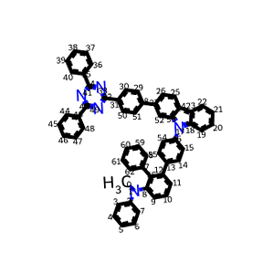 CN(c1ccccc1)c1cccc(-c2ccc(-n3c4ccccc4c4ccc(-c5ccc(-c6nc(-c7ccccc7)nc(-c7ccccc7)n6)cc5)cc43)cc2)c1-c1ccccc1